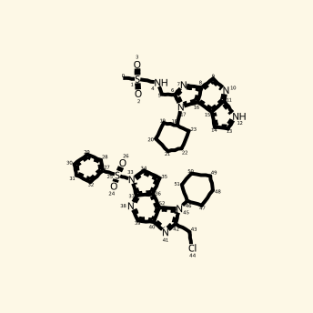 CS(=O)(=O)NCc1nc2cnc3[nH]ccc3c2n1C1CCCCC1.O=S(=O)(c1ccccc1)n1ccc2c1ncc1nc(CCl)n(C3CCCCC3)c12